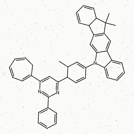 CC1C=C(n2c3ccccc3c3cc4c(cc32)C2C=CC=CC2C4(C)C)C=CC1c1cc(C2=CC=CC=CC2)nc(-c2ccccc2)n1